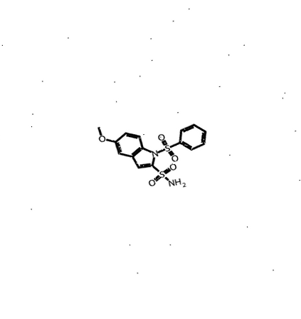 COc1ccc2c(c1)cc(S(N)(=O)=O)n2S(=O)(=O)c1ccccc1